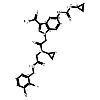 NC(=O)c1nn(CC(=O)N(CC(=O)NCc2cccc(Cl)c2F)C2CC2)c2ccc(NC(=O)NC3CC3)cc12